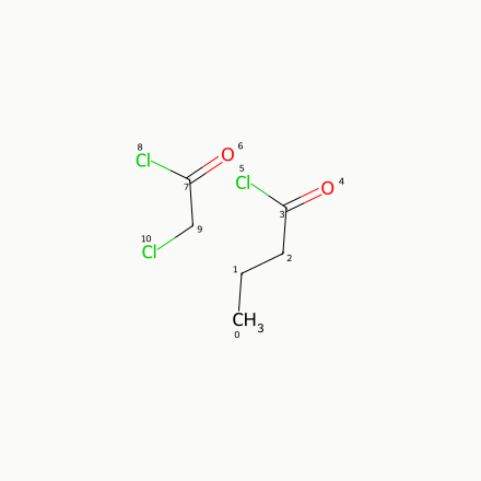 CCCC(=O)Cl.O=C(Cl)CCl